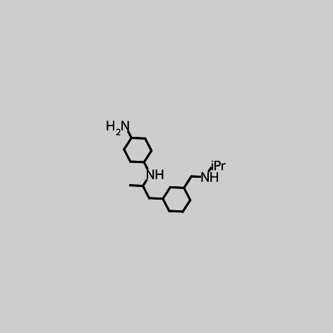 CC(C)NCC1CCCC(CC(C)NC2CCC(N)CC2)C1